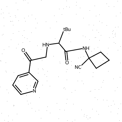 CC(C)(C)C(NCC(=O)c1cccnc1)C(=O)NC1(C#N)CCC1